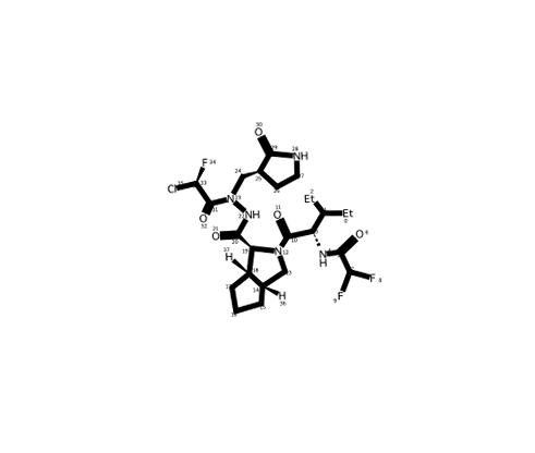 CCC(CC)[C@H](NC(=O)C(F)F)C(=O)N1C[C@@H]2CCC[C@@H]2[C@H]1C(=O)NN(C[C@@H]1CCNC1=O)C(=O)[C@H](F)Cl